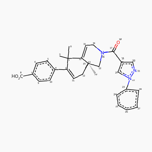 CC1(C)C(c2ccc(C(=O)O)cc2)=CC[C@]2(C)CN(C(=O)c3cnn(-c4ccccc4)c3)CC=C12